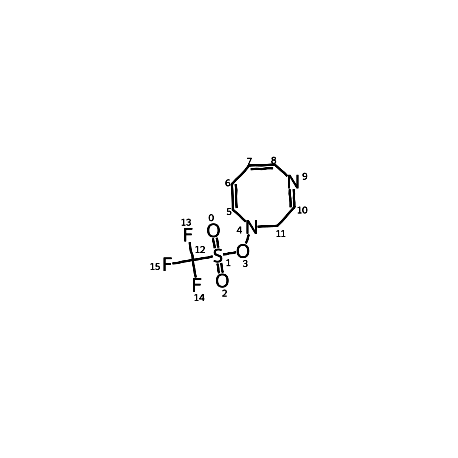 O=S(=O)(ON1C=CC=CN=CC1)C(F)(F)F